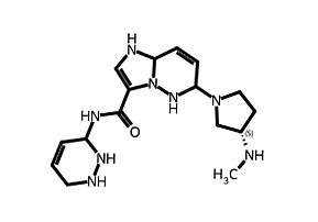 CN[C@H]1CCN(C2C=CC3NC=C(C(=O)NC4C=CCNN4)N3N2)C1